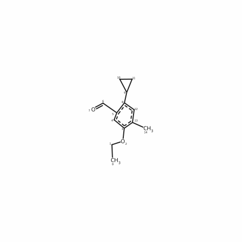 CCOc1cc(C=O)c(C2CC2)cc1C